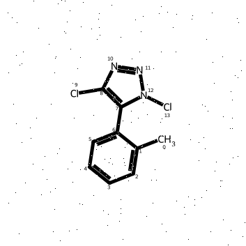 Cc1ccccc1-c1c(Cl)nnn1Cl